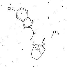 CCC[C@H]1CC2CCC([C@@H]1COc1nc3ccc(Cl)cc3s1)N2C